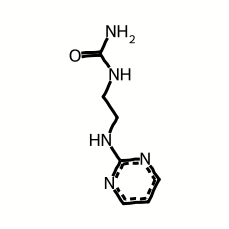 NC(=O)NCCNc1ncccn1